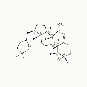 CC(=O)O[C@@H]1C=C2C[CH][C@@H]3O[C@@H]3[C@]2(C)[C@H]2CC[C@]3(C)[C@@H](C(C)C4OCC(C)(C)CO4)CC[C@H]3[C@H]12